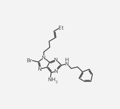 CCC=CCCCn1c(Br)nc2c(N)nc(NCCc3ccccc3)nc21